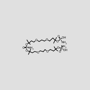 CC(C)(CCOCCCOCCC(C)(C)OP(N)(=O)OC(C)(C)CCOCCCOCCC(C)(C)OP(N)(=O)O)OP(N)(=O)O